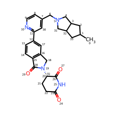 CC1CC2CN(Cc3ccnc(-c4ccc5c(c4)CN([C@H]4CCC(=O)NC4=O)C5=O)c3)CC2C1